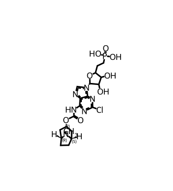 CN1[C@@H]2CC[C@H]1C[C@@H](OC(=O)Nc1nc(Cl)nc3c1ncn3C1OC(CCP(=O)(O)O)C(O)C1O)C2